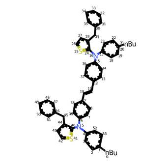 CCCCc1ccc(N(c2ccc(C=Cc3ccc(N(c4ccc(CCCC)cc4)c4sccc4Cc4ccccc4)cc3)cc2)c2sccc2Cc2ccccc2)cc1